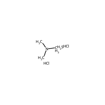 CN(C)C.Cl.Cl.S